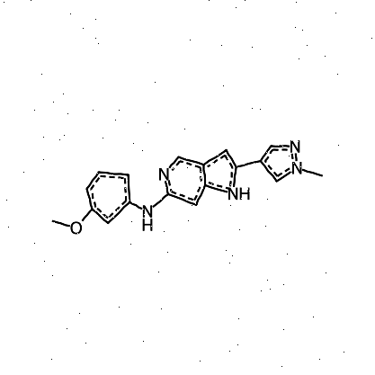 COc1cccc(Nc2cc3[nH]c(-c4cnn(C)c4)cc3cn2)c1